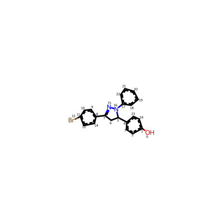 Oc1ccc(C2CC(c3ccc(Br)cc3)=NN2c2ccccc2)cc1